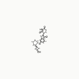 O=C1CCC(N2Cc3cc(O[C@H]4CCCC[C@@H]4N4CC(O)C4)ccc3C2=O)C(=O)N1